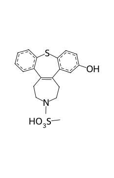 CN1CCC2=C(CC1)c1cc(O)ccc1Sc1ccccc12.CS(=O)(=O)O